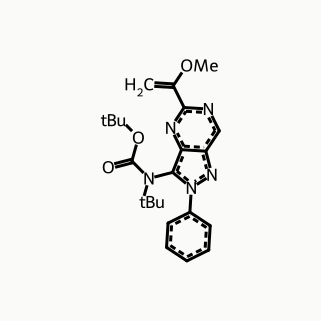 C=C(OC)c1ncc2nn(-c3ccccc3)c(N(C(=O)OC(C)(C)C)C(C)(C)C)c2n1